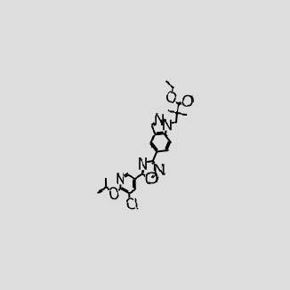 CCOC(=O)C(C)(C)Cn1ncc2cc(-c3noc(-c4cnc(OC(C)C)c(Cl)c4)n3)ccc21